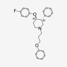 Fc1ccc(O[C@@H]2CCN(CCCOc3ccccc3)C[C@H]2c2ccccc2)cc1